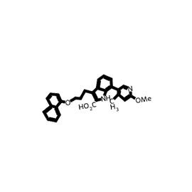 COc1cc(C)c(-c2cccc3c(CCCOc4cccc5ccccc45)c(C(=O)O)[nH]c23)cn1